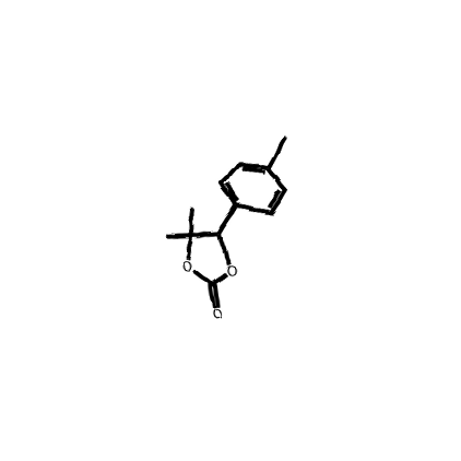 Cc1ccc(C2OC(=O)OC2(C)C)cc1